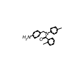 Cc1ccc(N(Cc2ccc(N)cc2)C(=O)c2ccccc2C)cc1